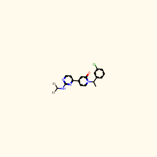 CCC(CC)Nc1nccc(-c2ccn(C(C)c3cccc(Cl)c3)c(=O)c2)n1